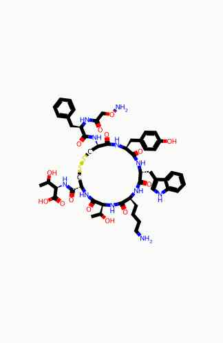 CC(O)[C@H](NC(=O)[C@@H]1CSSC[C@H](NC(=O)[C@@H](Cc2ccccc2)NC(=O)CON)C(=O)N[C@@H](Cc2ccc(O)cc2)C(=O)N[C@H](Cc2c[nH]c3ccccc23)C(=O)N[C@@H](CCCCN)C(=O)N[C@@H](C(C)O)C(=O)N1)C(=O)O